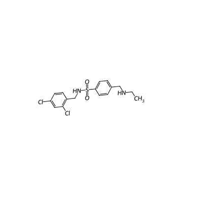 CCNCc1ccc(S(=O)(=O)NCc2ccc(Cl)cc2Cl)cc1